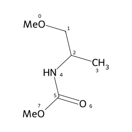 COCC(C)NC(=O)OC